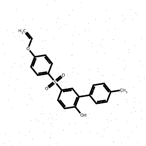 C=COc1ccc(S(=O)(=O)c2ccc(O)c(-c3ccc(C)cc3)c2)cc1